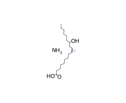 CCCCCCC(O)C/C=C\CCCCCCCC(=O)O.N